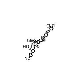 CC(C)(C)OC(=O)N1Cc2cc3c(cc2C[C@H]1C(=O)N[C@@H](Cc1ccc(-c2ccc(C#N)cc2)cc1)C(=O)O)OCC(c1ccc(OCc2ccc(Cl)c(Cl)c2)cc1)O3